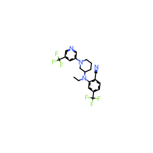 CCN(c1cc(C(F)(F)F)ccc1C#N)C1CCCN(c2cncc(C(F)(F)F)c2)C1